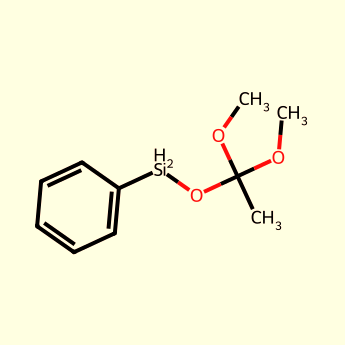 COC(C)(OC)O[SiH2]c1ccccc1